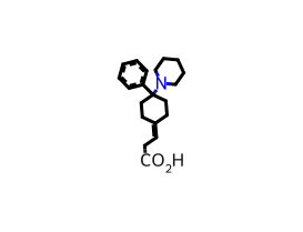 O=C(O)CC=C1CCC(c2ccccc2)(N2CCCCC2)CC1